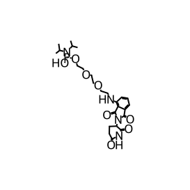 CC(C)N(C(C)C)P(O)OCCOCCOCCNc1cccc2c1C(=O)N(C1CCC(=O)NC1=O)C2=O